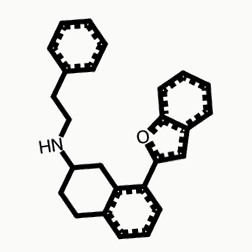 c1ccc(CCNC2CCc3cccc(-c4cc5ccccc5o4)c3C2)cc1